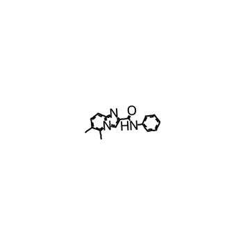 Cc1ccc2nc(C(=O)Nc3ccccc3)cn2c1C